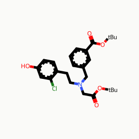 CC(C)(C)OC(=O)CN(CCc1ccc(O)cc1Cl)Cc1cccc(C(=O)OC(C)(C)C)c1